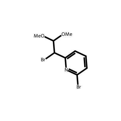 COC(OC)C(Br)c1cccc(Br)n1